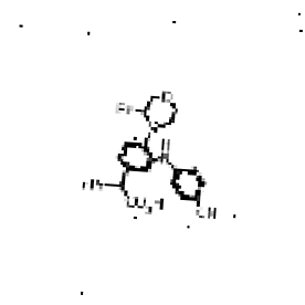 CCCC(C(=O)O)c1ccc(N2CCOCC2C(C)C)c(Nc2ccc(C#N)cc2)c1